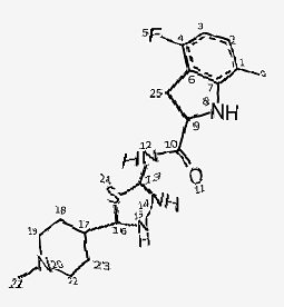 Cc1ccc(F)c2c1NC(C(=O)NC1NNC(C3CCN(C)CC3)S1)C2